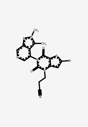 Cc1c2c(-n3c(=O)c4sc(Br)cc4n(CCC#N)c3=O)cncc2nn1C